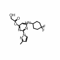 Cc1ccn(-c2nc(NC3CCC(F)(F)CC3)cc(OC(=O)CO)n2)n1